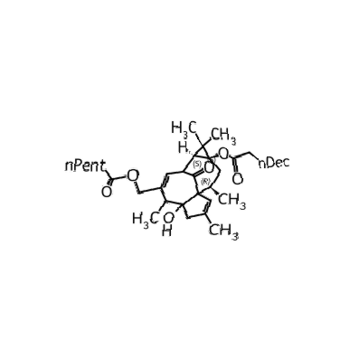 CCCCCCCCCCCC(=O)O[C@@]12C[C@@H](C)C34C=C(C)CC3(O)C(C)C(COC(=O)CCCCC)=CC(C4=O)[C@H]1C2(C)C